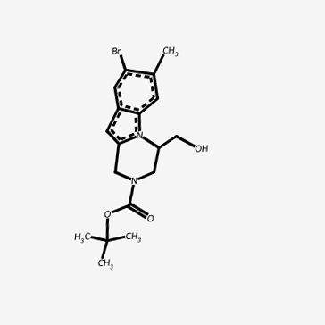 Cc1cc2c(cc1Br)cc1n2C(CO)CN(C(=O)OC(C)(C)C)C1